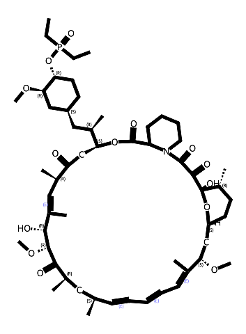 CCP(=O)(CC)O[C@@H]1CC[C@@H](C[C@@H](C)[C@@H]2CC(=O)[C@H](C)/C=C(\C)[C@@H](O)[C@@H](OC)C(=O)[C@H](C)C[C@H](C)/C=C/C=C/C=C(\C)[C@@H](OC)C[C@@H]3CC[C@@H](C)C(O)(O3)C(=O)C(=O)N3CCCCC3C(=O)O2)C[C@H]1OC